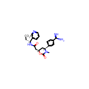 CN1C(=O)O[C@@H](CC(=O)N[C@H](CC(=O)O)c2cccnc2)C[C@H]1c1ccc(C(=N)N)cc1